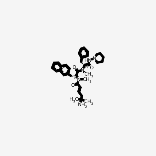 CN(C(=O)C=CCC(C)(C)N)[C@H](Cc1ccc2ccccc2c1)C(=O)N(C)[C@H](Cc1ccccc1)C(=O)NN1CCCCC1